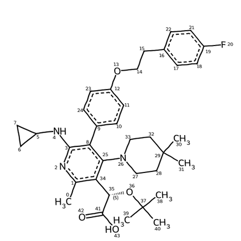 Cc1nc(NC2CC2)c(-c2ccc(OCCc3ccc(F)cc3)cc2)c(N2CCC(C)(C)CC2)c1[C@H](OC(C)(C)C)C(=O)O